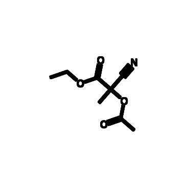 CCOC(=O)C(C)(C#N)OC(C)=O